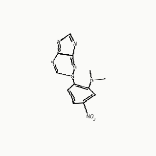 CN(C)c1cc([N+](=O)[O-])ccc1-n1cnc2ncnc-2n1